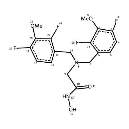 COc1c(F)ccc(CN(CC(=O)NO)Cc2ccc(F)c(OC)c2F)c1F